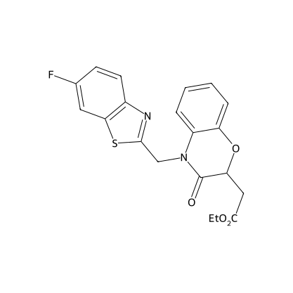 CCOC(=O)CC1Oc2ccccc2N(Cc2nc3ccc(F)cc3s2)C1=O